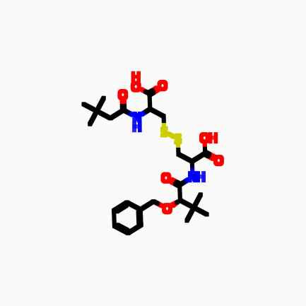 CC(C)(C)CC(=O)NC(CSSCC(NC(=O)[C@H](OCc1ccccc1)C(C)(C)C)C(=O)O)C(=O)O